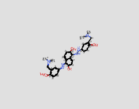 CCN(CC)Cc1cc(/N=N/c2c(O)ccc3c(NNc4ccc(O)c(CN(CC)CC)c4)c(O)ccc23)ccc1O